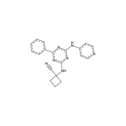 N#CC1(Nc2nc(Nc3ccncc3)nc(-c3ccccc3)n2)CCC1